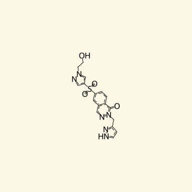 O=c1c2ccc(S(=O)(=O)c3cnn(CCO)c3)cc2cnn1Cc1cc[nH]n1